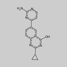 Nc1nccc(-c2ccc3nc(C4CC4)nc(O)c3c2)n1